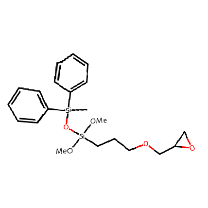 CO[Si](CCCOCC1CO1)(OC)O[Si](C)(c1ccccc1)c1ccccc1